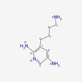 NCCCCc1cc(N)cnc1N